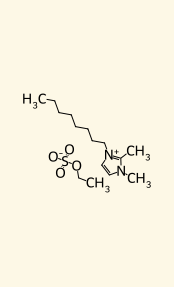 CCCCCCCC[n+]1ccn(C)c1C.CCOS(=O)(=O)[O-]